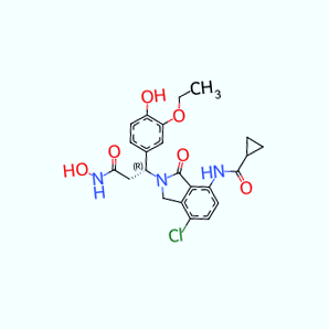 CCOc1cc([C@@H](CC(=O)NO)N2Cc3c(Cl)ccc(NC(=O)C4CC4)c3C2=O)ccc1O